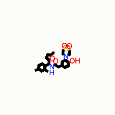 Cc1ccc(C(NC(=O)Cc2ccc(O)c(N3CCS(=O)(=O)CC3)c2)c2ccc(C)o2)c(C)c1